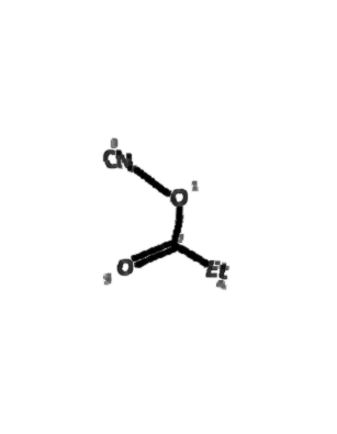 [C-]#[N+]OC(=O)CC